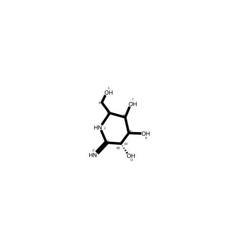 N=C1NC(CO)C(O)C(O)[C@@H]1O